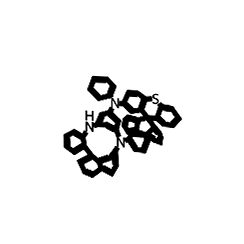 c1ccc(N(c2ccc3c(c2)C2(c4ccccc4S3)c3ccccc3-c3ccccc32)c2cc3cc(c2)n(-c2ccccc2)c2ccc4cccc(c4c2)c2ccccc2[nH]3)cc1